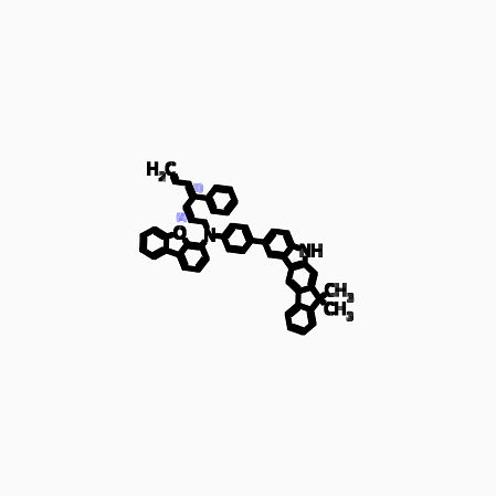 C=C/C=C(\C=C/CN(c1ccc(-c2ccc3[nH]c4cc5c(cc4c3c2)-c2ccccc2C5(C)C)cc1)c1cccc2c1oc1ccccc12)c1ccccc1